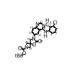 Cc1c(Cl)cccc1Nc1ncnc2ccc(N3CC4(CN(C(=O)OC(C)(C)C)C4)OC3=O)cc12